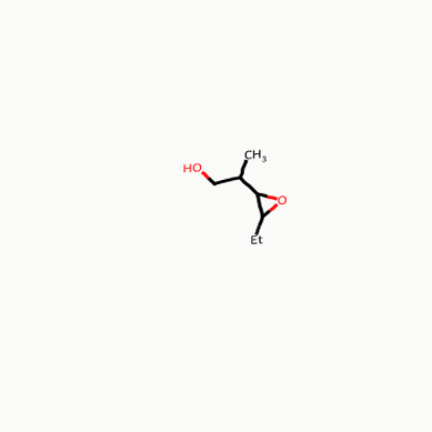 CCC1OC1C(C)CO